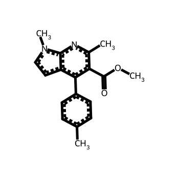 COC(=O)c1c(C)nc2c(ccn2C)c1-c1ccc(C)cc1